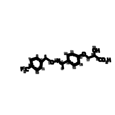 C/C(=N\OCc1ccc(C(F)(F)F)cc1)c1ccc(OCC(O)C(=O)O)cc1